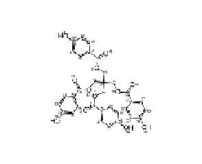 O=C(OCC(COC(=O)c1ccc(O)cc1)(COC(=O)c1ccc(O)cc1)COC(=O)c1ccc(O)cc1)c1ccc(O)cc1